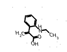 C=C(C(=O)O)c1ccccc1NCC